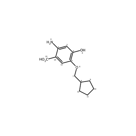 Nc1cc(O)c(OCC2CCCC2)cc1C(=O)O